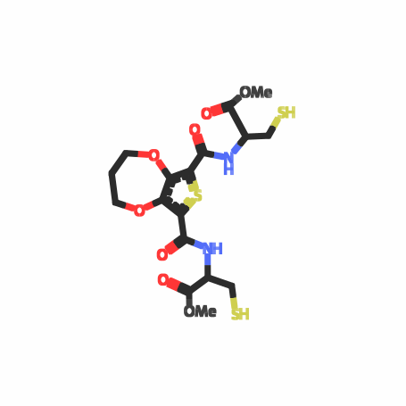 COC(=O)C(CS)NC(=O)c1sc(C(=O)NC(CS)C(=O)OC)c2c1OCCCO2